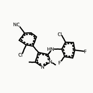 Cc1nn(C)c(Nc2c(F)cc(F)cc2Cl)c1-c1ccc(C#N)cc1Cl